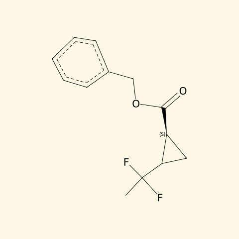 CC(F)(F)C1C[C@@H]1C(=O)OCc1ccccc1